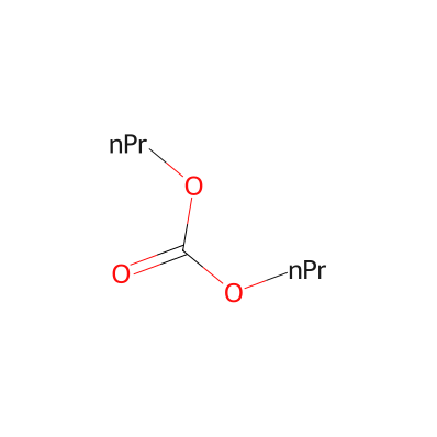 C[CH]COC(=O)OCCC